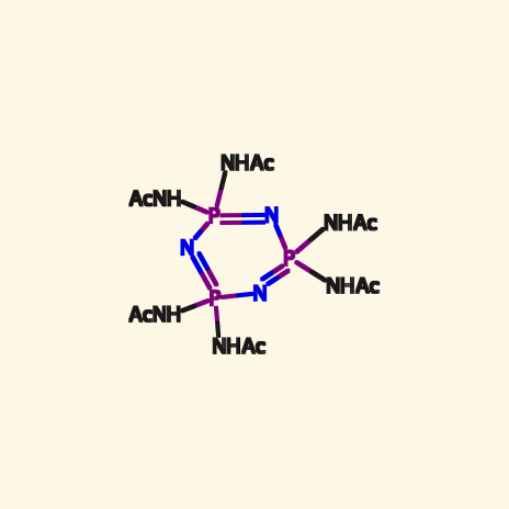 CC(=O)NP1(NC(C)=O)=NP(NC(C)=O)(NC(C)=O)=NP(NC(C)=O)(NC(C)=O)=N1